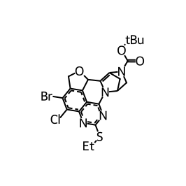 CCSc1nc2c3c4c(c(Br)c(Cl)c3n1)COC4C1=C3CC(CN3C(=O)OC(C)(C)C)N12